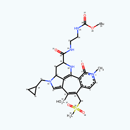 Cn1ccc2c(c1=O)C1=C3C(=CN(CC4CC4)C3CC(C(=O)NCCNC(=O)OC(C)(C)C)N1)C(C(=O)O)=C2CS(C)(=O)=O